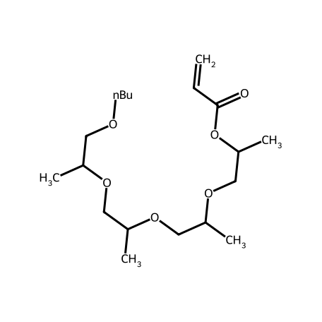 C=CC(=O)OC(C)COC(C)COC(C)COC(C)COCCCC